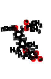 C=C(C)C(=O)OCc1cc(-c2cc(C)c(OCC3(C)COC(=O)OC3)c(C)c2)ccc1OCCCCCCCCCC